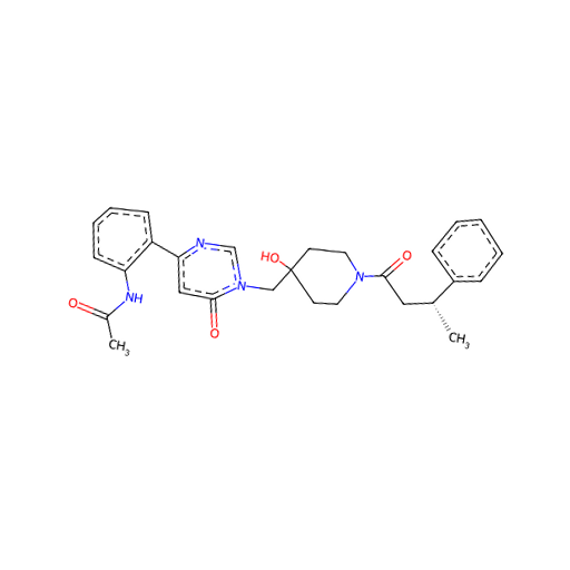 CC(=O)Nc1ccccc1-c1cc(=O)n(CC2(O)CCN(C(=O)C[C@@H](C)c3ccccc3)CC2)cn1